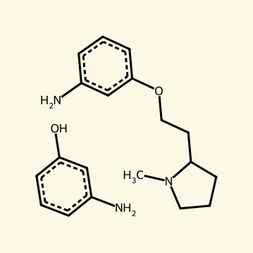 CN1CCCC1CCOc1cccc(N)c1.Nc1cccc(O)c1